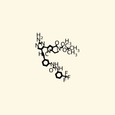 Cn1c(-c2nc(N)ncc2C#Cc2cccc(NC(=O)Nc3cccc(C(F)(F)F)c3)c2)cc2c1CCN(C(=O)OC(C)(C)C)C2=O